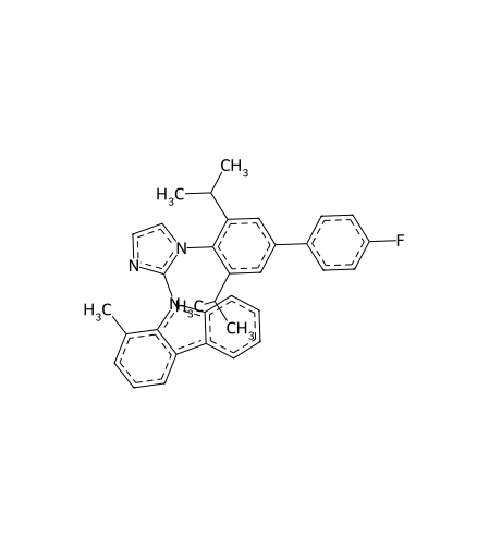 Cc1cccc2c3ccccc3n(-c3nccn3-c3c(C(C)C)cc(-c4ccc(F)cc4)cc3C(C)C)c12